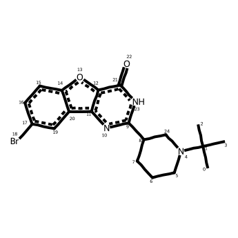 CC(C)(C)N1CCCC(c2nc3c(oc4ccc(Br)cc43)c(=O)[nH]2)C1